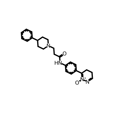 O=C(CCN1CCC(c2ccccc2)CC1)Nc1ccc(C2=[N+]([O-])N=CCC2)cc1